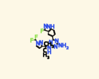 CC(C)(Nc1nc(N)nc(-c2ccc3[nH]nc(F)c3c2)n1)c1ccn(C(F)F)n1